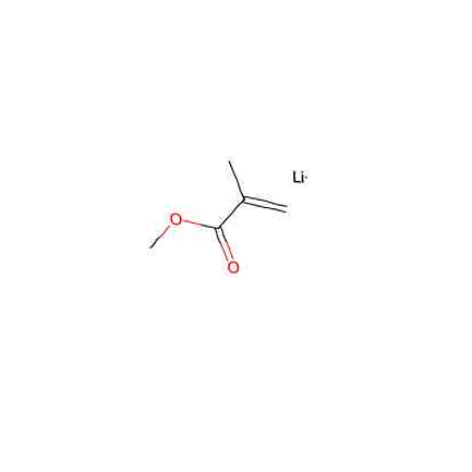 C=C(C)C(=O)OC.[Li]